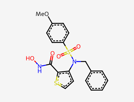 COc1ccc(S(=O)(=O)N(Cc2ccccc2)c2ccsc2C(=O)NO)cc1